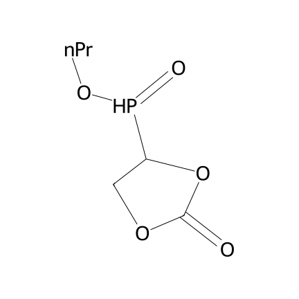 CCCO[PH](=O)C1COC(=O)O1